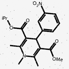 COC(=O)C1=C(C)N(C)C(C)=C(C(=O)OC(C)C)C1c1cccc([N+](=O)[O-])c1